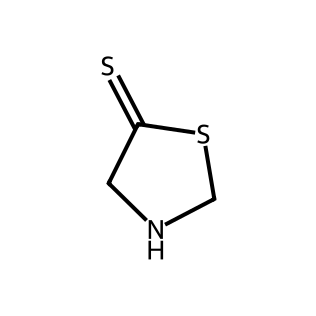 S=C1CNCS1